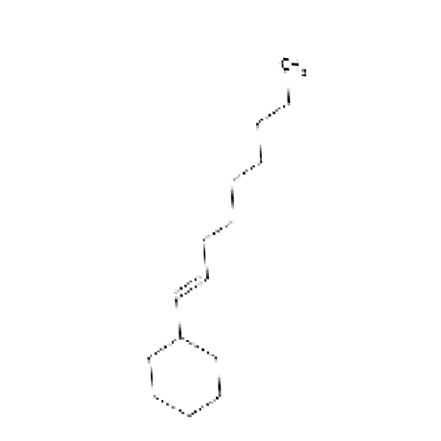 CCCCCCCC=CC1CCCCC1